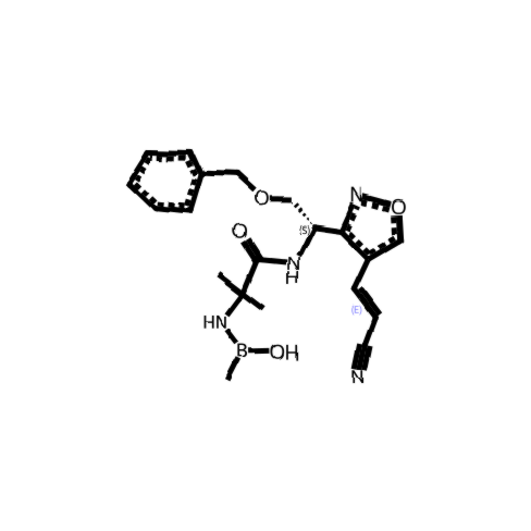 CB(O)NC(C)(C)C(=O)N[C@H](COCc1ccccc1)c1nocc1/C=C/C#N